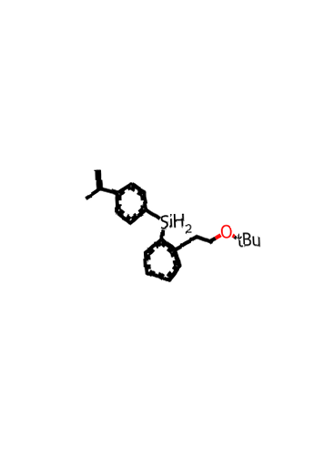 C=C(C)c1ccc([SiH2]c2ccccc2CCOC(C)(C)C)cc1